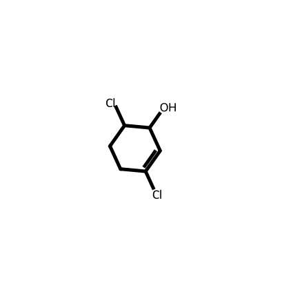 OC1C=C(Cl)CCC1Cl